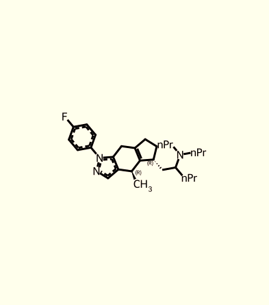 CCCC(C[C@H]1CCC2=C1[C@@H](C)c1cnn(-c3ccc(F)cc3)c1C2)N(CCC)CCC